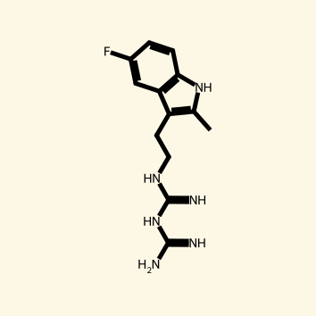 Cc1[nH]c2ccc(F)cc2c1CCNC(=N)NC(=N)N